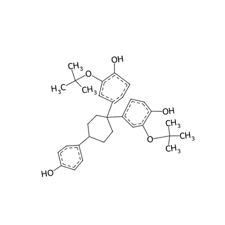 CC(C)(C)Oc1cc(C2(c3ccc(O)c(OC(C)(C)C)c3)CCC(c3ccc(O)cc3)CC2)ccc1O